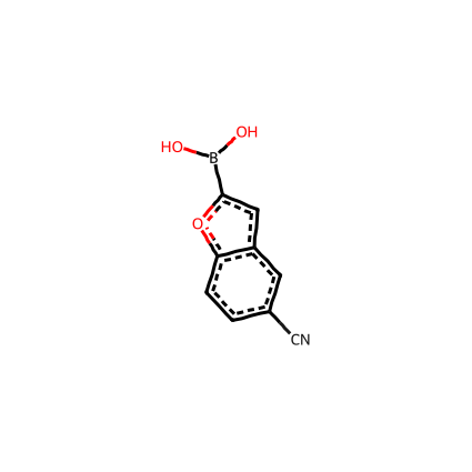 N#Cc1ccc2oc(B(O)O)cc2c1